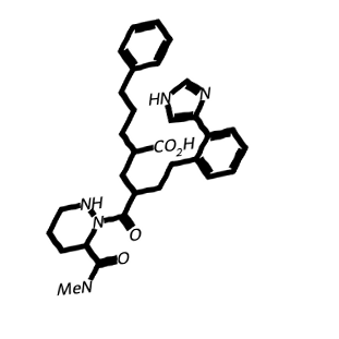 CNC(=O)C1CCCNN1C(=O)C(CCc1ccccc1-c1c[nH]cn1)CC(CCCc1ccccc1)C(=O)O